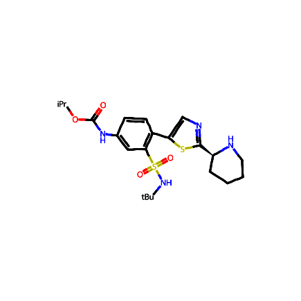 CC(C)OC(=O)Nc1ccc(-c2cnc([C@@H]3CCCCN3)s2)c(S(=O)(=O)NC(C)(C)C)c1